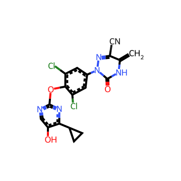 C=C1NC(=O)N(c2cc(Cl)c(Oc3ncc(O)c(C4CC4)n3)c(Cl)c2)N=C1C#N